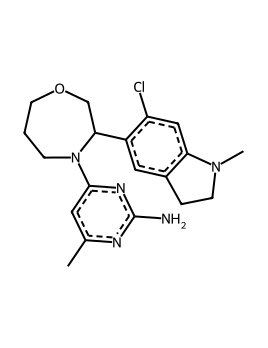 Cc1cc(N2CCCOCC2c2cc3c(cc2Cl)N(C)CC3)nc(N)n1